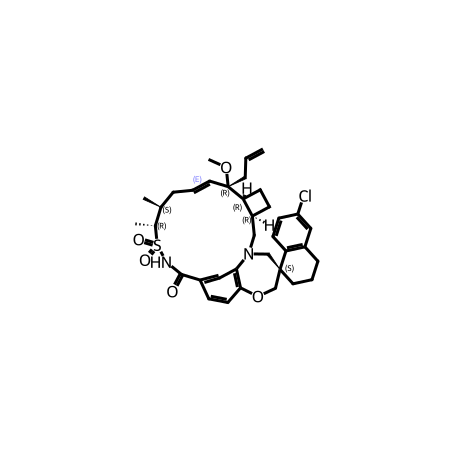 C=CC[C@]1(OC)/C=C/C[C@H](C)[C@@H](C)S(=O)(=O)NC(=O)c2ccc3c(c2)N(C[C@@H]2CC[C@H]21)C[C@@]1(CCCc2cc(Cl)ccc21)CO3